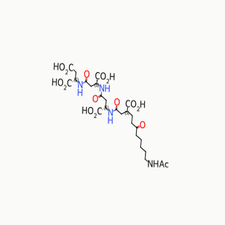 CC(=O)NCCCCCC(=O)CC[C@@H](CC(=O)N[C@@H](CC(=O)N[C@@H](CC(=O)N[C@@H](CC(=O)O)C(=O)O)C(=O)O)C(=O)O)C(=O)O